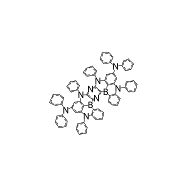 c1ccc(N(c2ccccc2)c2cc3c4c(c2)N(c2ccccc2)c2nc5c(nc2B4c2ccccc2N3c2ccccc2)B2c3ccccc3N(c3ccccc3)c3cc(N(c4ccccc4)c4ccccc4)cc(c32)N5c2ccccc2)cc1